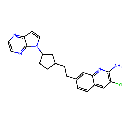 Nc1nc2cc(CCC3CCC(n4ccc5nccnc54)C3)ccc2cc1Cl